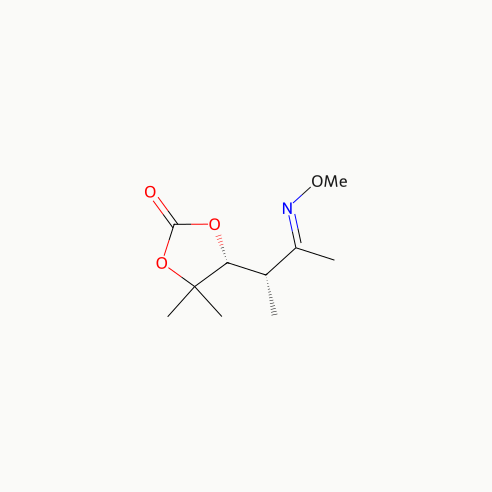 CON=C(C)[C@H](C)[C@H]1OC(=O)OC1(C)C